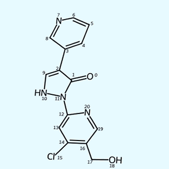 O=c1c(-c2cccnc2)c[nH]n1-c1cc(Cl)c(CO)cn1